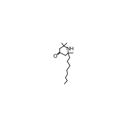 CCCCCCCCC1(C)CC(=O)CC(C)(C)N1